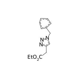 CCOC(=O)Cc1cn(Cc2ccccc2)nn1